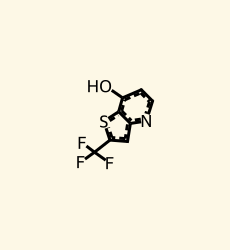 Oc1ccnc2cc(C(F)(F)F)sc12